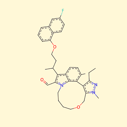 CCc1nn(C)c2c1-c1c(C)ccc3c(C(C)CCOc4cccc5cc(F)ccc45)c(C=O)n(c13)CCCCOC2